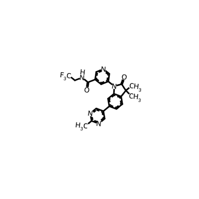 Cc1ncc(-c2ccc3c(c2)N(c2cncc(C(=O)NCC(F)(F)F)c2)C(=O)C3(C)C)cn1